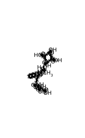 Cc1nc(CNC(=O)CN2CCN(CC(=O)O)CCN(CC(=O)O)CCN(CC(=O)O)CC2)sc1C(=O)N[C@@H](Cc1ccc2ccccc2c1)C(=O)NCCCC[C@H](NC(=O)N[C@@H](CCC(=O)O)C(=O)O)C(=O)O